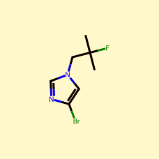 CC(C)(F)Cn1cnc(Br)c1